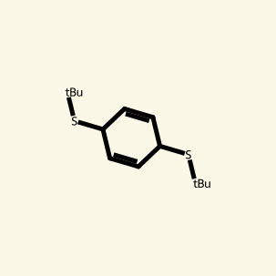 CC(C)(C)SC1C=CC(SC(C)(C)C)C=C1